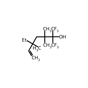 C=CC(C)(CC)CC(C)(C)C(O)(C(F)(F)F)C(F)(F)F